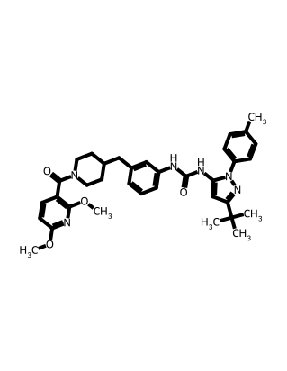 COc1ccc(C(=O)N2CCC(Cc3cccc(NC(=O)Nc4cc(C(C)(C)C)nn4-c4ccc(C)cc4)c3)CC2)c(OC)n1